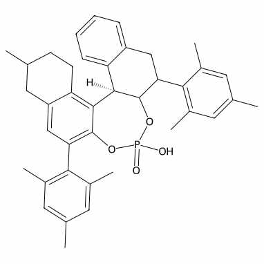 Cc1cc(C)c(-c2cc3c(c4c2OP(=O)(O)OC2C(c5c(C)cc(C)cc5C)Cc5ccccc5[C@H]42)CCC(C)C3)c(C)c1